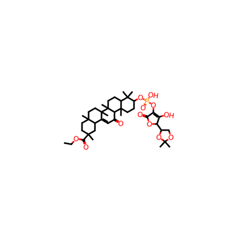 CCOC(=O)C1(C)CCC2(C)CCC3(C)C(=CC(=O)C4C5(C)CCC(OP(=O)(O)OC6=C(O)C(C7COC(C)(C)O7)OC6=O)C(C)(C)C5CCC43C)C2C1